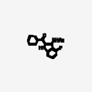 CC(=O)Nc1c(C(=O)c2ccccc2)[nH]c2cccc(F)c12